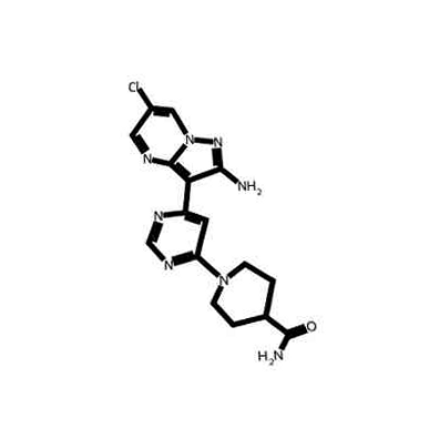 NC(=O)C1CCN(c2cc(-c3c(N)nn4cc(Cl)cnc34)ncn2)CC1